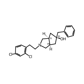 O[C@@]1(Cc2ccccc2)C[C@H]2CN(CCc3ccc(Cl)cc3Cl)C[C@H]2C1